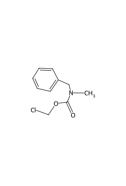 CN(Cc1ccccc1)C(=O)OCCl